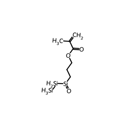 C=C(C)C(=O)OCCC[Si](=O)[SiH2][SiH3]